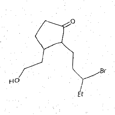 CCC(Br)CCC1C(=O)CCC1CCO